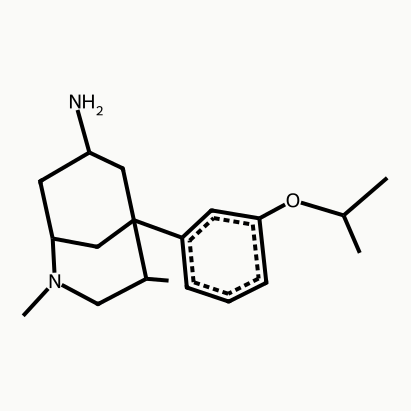 CC(C)Oc1cccc(C23CC(N)CC(C2)N(C)CC3C)c1